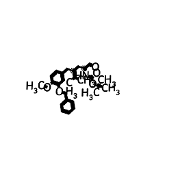 COc1ccc(C[C@@H](C[C@@H](C=O)NC(=O)OC(C)(C)C)C(C)C)cc1OCc1ccccc1